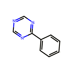 [c]1ccc(-c2ncncn2)cc1